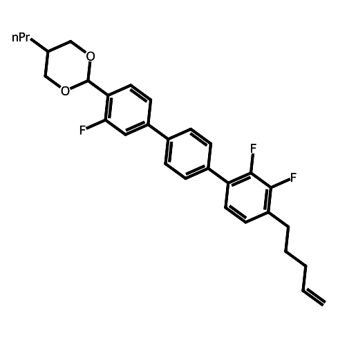 C=CCCCc1ccc(-c2ccc(-c3ccc(C4OCC(CCC)CO4)c(F)c3)cc2)c(F)c1F